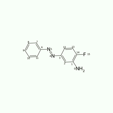 Nc1cc(N=Nc2ccccc2)ccc1F